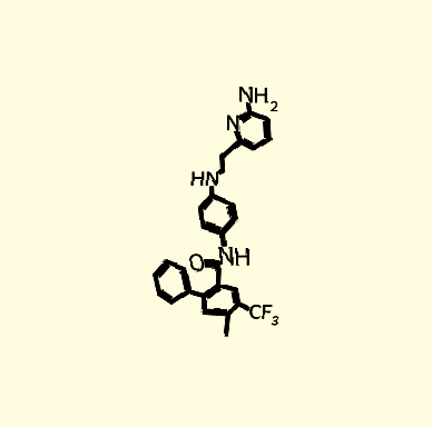 Cc1cc(-c2ccccc2)c(C(=O)Nc2ccc(NCCc3cccc(N)n3)cc2)cc1C(F)(F)F